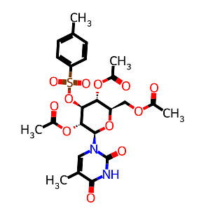 CC(=O)OC[C@H]1O[C@@H](n2cc(C)c(=O)[nH]c2=O)[C@H](OC(C)=O)[C@@H](OS(=O)(=O)c2ccc(C)cc2)[C@@H]1OC(C)=O